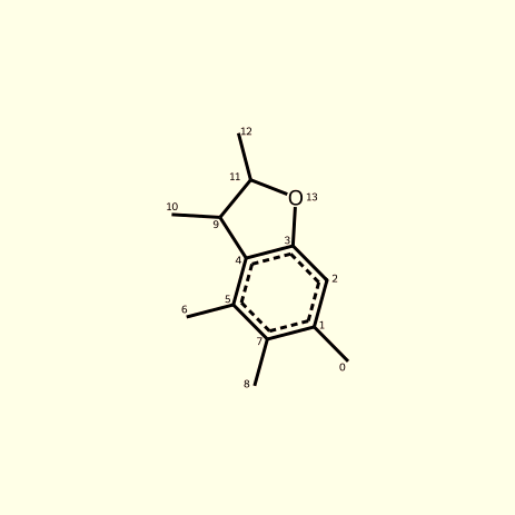 Cc1cc2c(c(C)c1C)C(C)C(C)O2